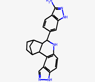 Nc1n[nH]c2cc(C3Nc4ccc5[nH]ncc5c4C4C5CCC(C5)C34)ccc12